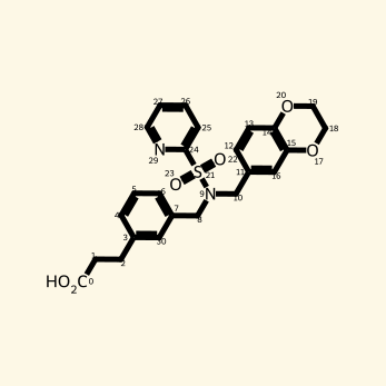 O=C(O)CCc1cccc(CN(Cc2ccc3c(c2)OCCO3)S(=O)(=O)c2ccccn2)c1